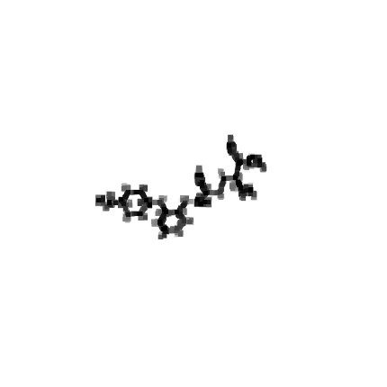 CC(=O)[C@@H](N)CCC(=O)NCc1ccccc1CN1CCN(C)CC1